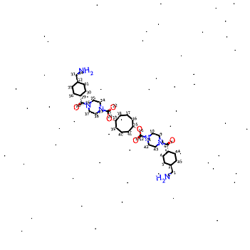 NC[C@H]1CC[C@H](C(=O)N2CCN(C(=O)O[C@H]3CCC[C@@H](OC(=O)N4CCN(C(=O)[C@H]5CC[C@H](CN)CC5)CC4)CCC3)CC2)CC1